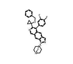 Fc1ccc(-c2c(C3(OCc4ccccc4)CC3)ncc3cc4c(cnn4[N+]45CCN(CC4)CC5)cc23)cc1F